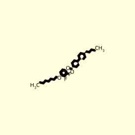 CCCCCCCCOc1ccc(OC(=O)[C@H]2CC[C@H]([C@H]3CC[C@H](CCCCC)CC3)CC2)c(F)c1F